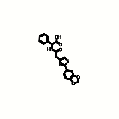 O=C(Cc1csc(-c2ccc3c(c2)OCO3)n1)NC(C(=O)O)c1ccccc1